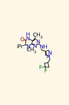 Cc1nc(NCc2cnn(CC3CC(F)(F)C3)c2)nc2c1NC(=O)C(C(C)C)N2C